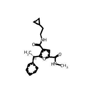 CNC(=O)c1cc(C(=O)NCCC2CC2)c([C@@H](C)c2ccccc2)o1